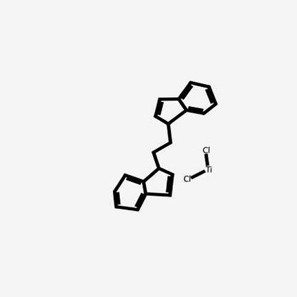 C1=CC(CCC2C=Cc3ccccc32)c2ccccc21.[Cl][Ti][Cl]